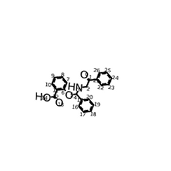 O=C(CNC(Oc1ccccc1C(=O)O)c1ccccc1)c1ccccc1